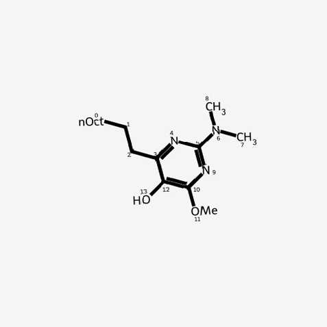 CCCCCCCCCCc1nc(N(C)C)nc(OC)c1O